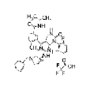 Cc1ccc(C(=O)NC(C)C)cc1-c1nc(N[C@H]2CCN(Cc3ccccc3)C2)nc2c1CNC(=O)N2c1c(F)cccc1F.O=C(O)C(F)(F)F